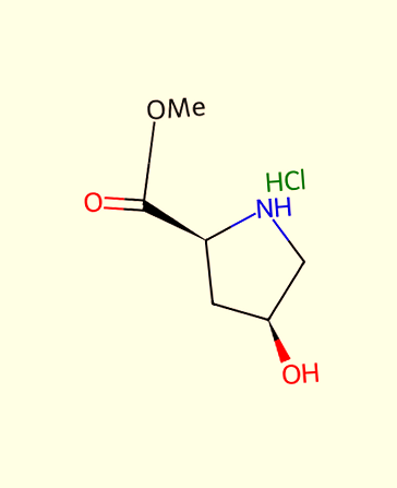 COC(=O)[C@@H]1C[C@H](O)CN1.Cl